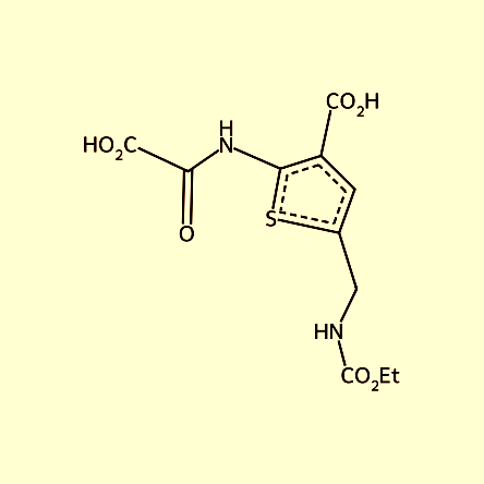 CCOC(=O)NCc1cc(C(=O)O)c(NC(=O)C(=O)O)s1